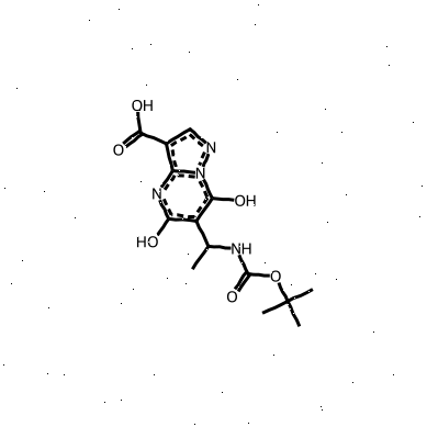 CC(NC(=O)OC(C)(C)C)c1c(O)nc2c(C(=O)O)cnn2c1O